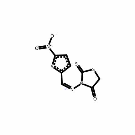 O=C1CSC(=S)N1/N=C\c1ccc([N+](=O)[O-])s1